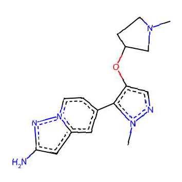 CN1CCC(Oc2cnn(C)c2-c2ccn3nc(N)cc3c2)C1